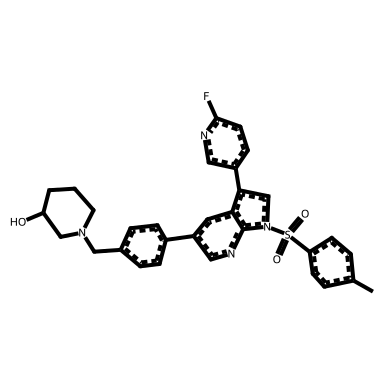 Cc1ccc(S(=O)(=O)n2cc(-c3ccc(F)nc3)c3cc(-c4ccc(CN5CCCC(O)C5)cc4)cnc32)cc1